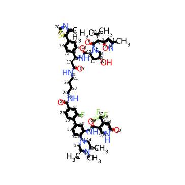 Cc1cc([C@H](C(=O)N2C[C@H](O)C[C@H]2C(=O)N[C@@H](CC(=O)NCCCCNC(=O)c2ccc(-c3ccc(N4C[C@@H](C)N(C)[C@@H](C)C4)c(NC(=O)c4c[nH]c(=O)cc4C(F)(F)F)c3)c(F)c2)c2ccc(-c3scnc3C)cc2)C(C)C)on1